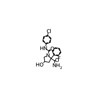 NC(=O)C1(c2ccccc2F)CC(O)CN1C(=O)Nc1ccc(Cl)cc1